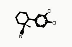 C[C@@]1(C#N)CCCCC1c1ccc(Cl)c(Cl)c1